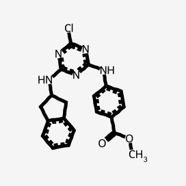 COC(=O)c1ccc(Nc2nc(Cl)nc(NC3Cc4ccccc4C3)n2)cc1